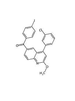 COc1cc(-c2cccc(Cl)c2)c2cc(C(=O)c3ccc(I)cc3)ccc2n1